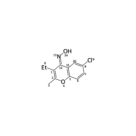 CCc1c(C)oc2ccc(Cl)cc2c1=NO